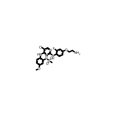 COc1ccc(Nc2nc(Nc3ccc(OCCN)cc3F)ncc2Cl)c(NS(C)(=O)=O)c1